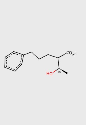 C[C@@H](O)C(CCCc1ccccc1)C(=O)O